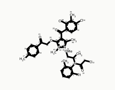 CCc1cccc(C)c1N(C(=O)CCl)C(C)COC.Cc1ccc(C(=O)COc2c(C(=O)c3ccc(Cl)c(C)c3Cl)c(C)nn2C)cc1